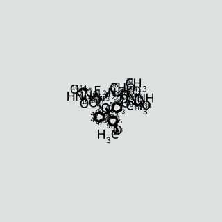 COc1ccc(C(OC[C@H]2O[C@@H](n3ccc(=O)[nH]c3=O)[C@H](F)[C@@H]2CCN(C)C[C@H]2[CH][C@@H](OC)[C@H](n3ccc(=O)[nH]c3=O)O2)(c2ccccc2)c2ccc(OC)cc2)cc1